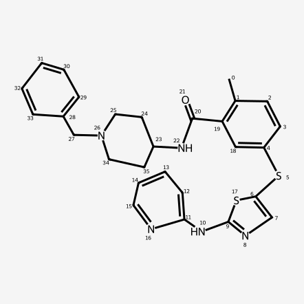 Cc1ccc(Sc2cnc(Nc3ccccn3)s2)cc1C(=O)NC1CCN(Cc2ccccc2)CC1